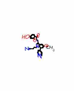 COc1cc(-c2ccncc2)c2c(c1)c(/C=C1\Oc3cc(O)ccc3C1=O)cn2CCCC#N